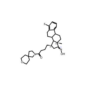 C[C@]12CCC3c4cccc(F)c4CCC3C1[C@H](CCCC(=O)N1CCC3(CCOCC3)C1)C/C2=N\O